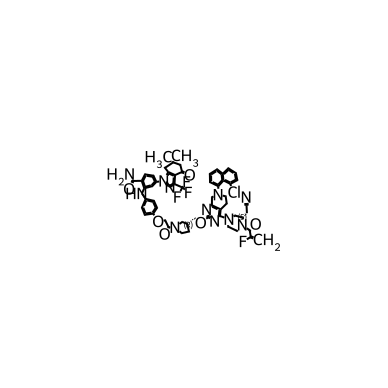 C=C(F)C(=O)N1CCN(c2nc(OC[C@@H]3CCN(C(=O)COc4ccc(Nc5cc(-n6nc(C(F)(F)F)c7c6CC(C)(C)CC7=O)ccc5C(N)=O)cc4)C3)nc3c2CCN(c2cccc4cccc(Cl)c24)C3)C[C@@H]1CC#N